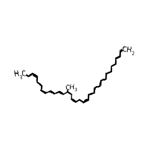 C=CCCCCCCCCCCCC/C=C\C/C=C\CC(C)/C=C/C=C/C=C\CC/C=C\CC